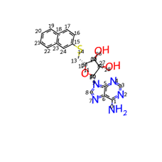 Nc1ncnc2c1ncn2[C@@H]1O[C@H](CSc2ccc3ccccc3c2)[C@@H](O)[C@H]1O